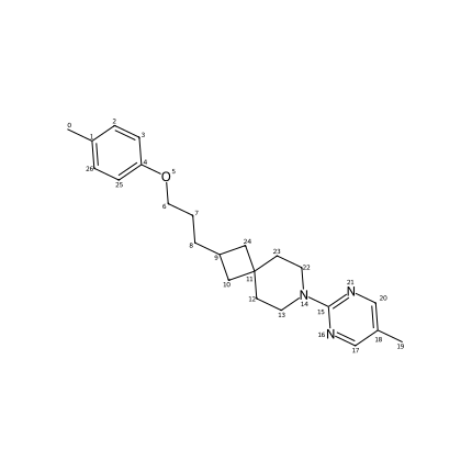 Cc1ccc(OCCCC2CC3(CCN(c4ncc(C)cn4)CC3)C2)cc1